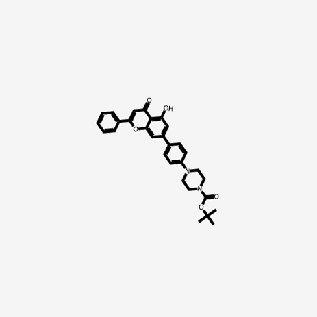 CC(C)(C)OC(=O)N1CCN(c2ccc(-c3cc(O)c4c(=O)cc(-c5ccccc5)oc4c3)cc2)CC1